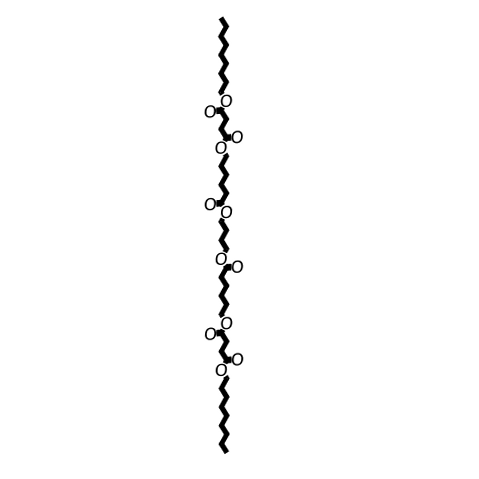 CCCCCCCCCOC(=O)CCC(=O)OCCCCCC(=O)OCCCCOC(=O)CCCCCOC(=O)CCC(=O)OCCCCCCCCC